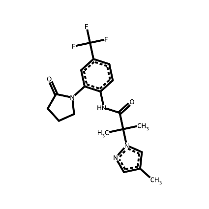 Cc1cnn(C(C)(C)C(=O)Nc2ccc(C(F)(F)F)cc2N2CCCC2=O)c1